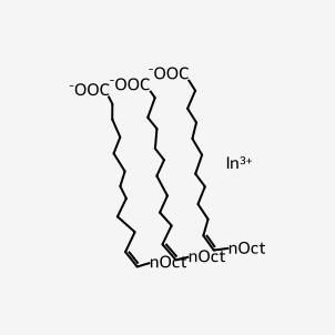 CCCCCCCC/C=C\CCCCCCCCCC(=O)[O-].CCCCCCCC/C=C\CCCCCCCCCC(=O)[O-].CCCCCCCC/C=C\CCCCCCCCCC(=O)[O-].[In+3]